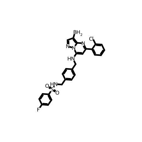 Bc1cnn2c(NCc3ccc(CNS(=O)(=O)c4ccc(F)cc4)cc3)cc(-c3ccccc3Cl)nc12